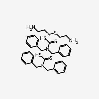 NCCSSCCN.S=C(S)N(Cc1ccccc1)Cc1ccccc1.S=C(S)N(Cc1ccccc1)Cc1ccccc1